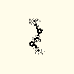 CC(C)(C)OC(=O)Cc1ccccc1NC(=O)c1nc(-c2cc(F)cc(CNC(=O)OC(C)(C)C)c2)sc1Cl